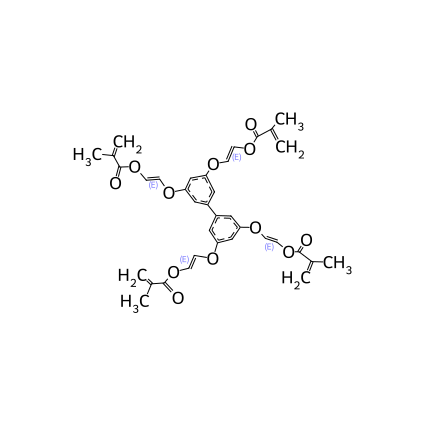 C=C(C)C(=O)O/C=C/Oc1cc(O/C=C/OC(=O)C(=C)C)cc(-c2cc(O/C=C/OC(=O)C(=C)C)cc(O/C=C/OC(=O)C(=C)C)c2)c1